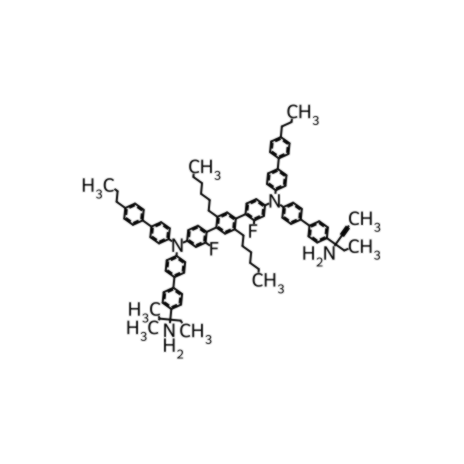 CC#CC(N)(CC)c1ccc(-c2ccc(N(c3ccc(-c4ccc(CCC)cc4)cc3)c3ccc(-c4cc(CCCCCC)c(-c5ccc(N(c6ccc(-c7ccc(CCC)cc7)cc6)c6ccc(-c7ccc(C(N)(CC)C(C)C)cc7)cc6)cc5F)cc4CCCCCC)c(F)c3)cc2)cc1